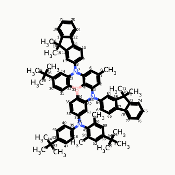 Cc1cc2c3c(c1)N(c1ccc4c(c1)C(C)(C)c1ccccc1-4)c1cc(C(C)(C)C)ccc1B3c1ccc(N(c3ccc(C(C)(C)C)cc3)c3c(C)cc(C(C)(C)C)cc3C)cc1N2c1ccc2c(c1)C(C)(C)c1ccccc1-2